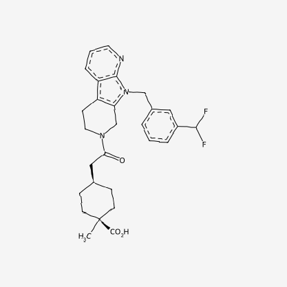 C[C@]1(C(=O)O)CC[C@@H](CC(=O)N2CCc3c(n(Cc4cccc(C(F)F)c4)c4ncccc34)C2)CC1